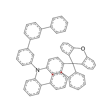 c1ccc(-c2cccc(-c3cccc(N(c4ccc5c(c4)-c4ccccc4C54c5ccccc5Oc5ccccc54)c4ccccc4-c4ccccc4)c3)c2)cc1